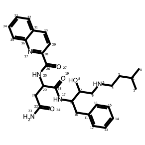 CC(C)CCNCC(O)C(Cc1ccccc1)NC(=O)C(CC(N)=O)NC(=O)c1ccc2ccccc2n1